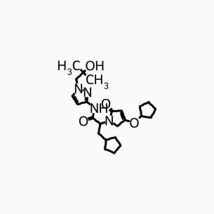 CC(C)(O)Cn1ccc(NC(=O)C(CC2CCCC2)N2CC(OC3CCCC3)=CC2=O)n1